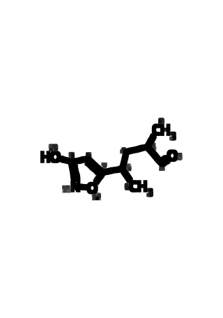 CC(C=O)CC(C)c1cc(O)no1